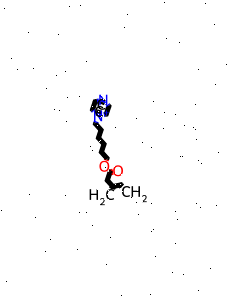 C=CC(=C)CC(=O)OCCCCCC[N+]12CCN(CC1)CC2